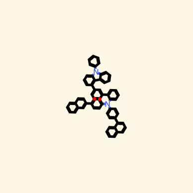 c1ccc(-n2c3ccccc3c3c(-c4cccc(-c5ccccc5N(c5ccc(-c6ccc7ccccc7c6)cc5)c5ccc(-c6cccc7ccccc67)cc5)c4)cccc32)cc1